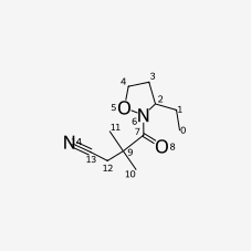 CCC1CCON1C(=O)C(C)(C)CC#N